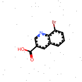 O=C(O)c1cnc2c(Br)cccc2c1